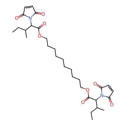 CCC(C)C(C(=O)OCCCCCCCCCCOC(=O)C(C(C)CC)N1C(=O)C=CC1=O)N1C(=O)C=CC1=O